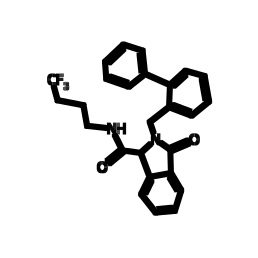 O=C(NCCCC(F)(F)F)C1c2ccccc2C(=O)N1Cc1ccccc1-c1ccccc1